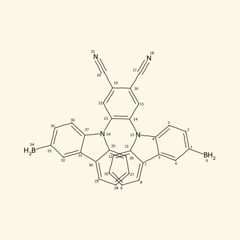 Bc1ccc2c(c1)c1ccccc1n2-c1cc(C#N)c(C#N)cc1-n1c2ccccc2c2cc(B)ccc21